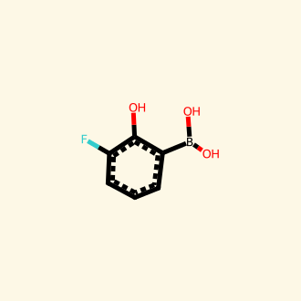 OB(O)c1cccc(F)c1O